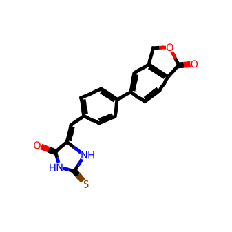 O=C1NC(=S)N/C1=C\c1ccc(-c2ccc3c(c2)COC3=O)cc1